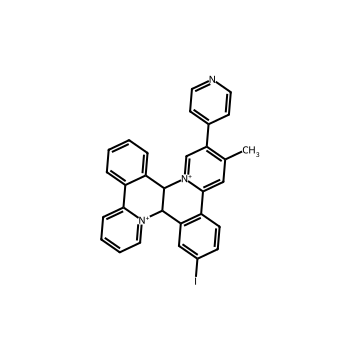 Cc1cc2[n+](cc1-c1ccncc1)C1c3ccccc3-c3cccc[n+]3C1c1cc(I)ccc1-2